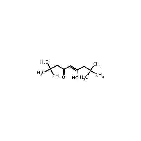 CC(C)(C)CC(=O)/C=C(\O)CC(C)(C)C